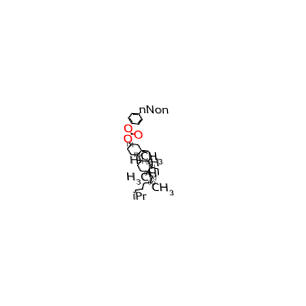 CCCCCCCCCc1ccc(OC(=O)O[C@H]2CC[C@@]3(C)C(=CC[C@H]4[C@@H]5CC[C@H]([C@H](C)CCCC(C)C)[C@@]5(C)CC[C@@H]43)C2)cc1